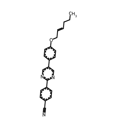 CCCC=CCOc1ccc(-c2cnc(-c3ccc(C#N)cc3)nc2)cc1